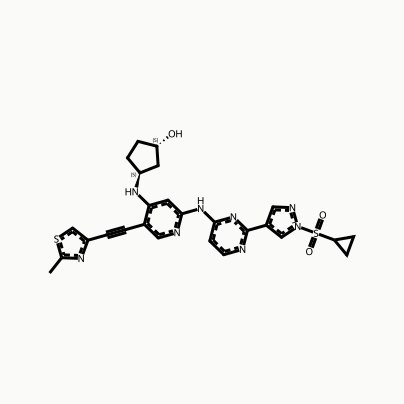 Cc1nc(C#Cc2cnc(Nc3ccnc(-c4cnn(S(=O)(=O)C5CC5)c4)n3)cc2N[C@H]2CC[C@H](O)C2)cs1